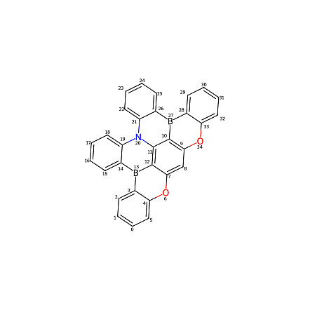 c1ccc2c(c1)Oc1cc3c4c5c1B2c1ccccc1N5c1ccccc1B4c1ccccc1O3